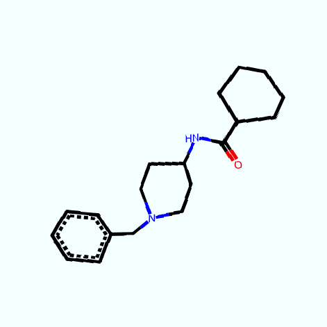 O=C(NC1CCN(Cc2ccccc2)CC1)C1CCCCC1